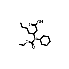 CCCCC(CC(=O)O)N(C(=O)OCC)C1CCCCC1